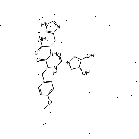 COc1ccc(C[C@H](NC(=O)N2C[C@@H](O)[C@@H](O)C2)C(=O)N[C@@H](Cc2c[nH]cn2)C(N)=O)cc1